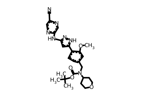 COc1cc(CN(C(=O)OC(C)(C)C)C2CCOCC2)ccc1-c1cc(Nc2cnc(C#N)cn2)n[nH]1